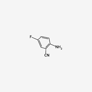 N#Cc1cc(F)[c]cc1N